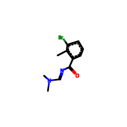 Cc1c(Br)cccc1C(=O)N=CN(C)C